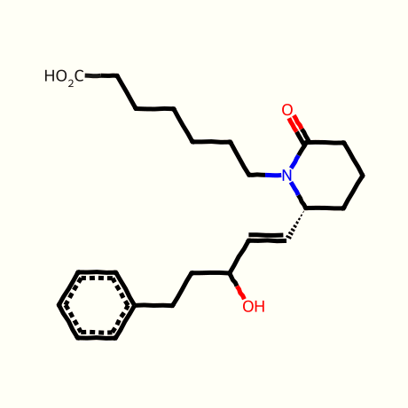 O=C(O)CCCCCCN1C(=O)CCC[C@@H]1/C=C/C(O)CCc1ccccc1